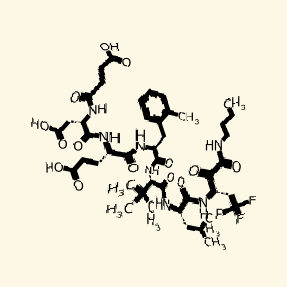 CCCCNC(=O)C(=O)[C@H](CC(F)(F)F)NC(=O)[C@H](CC(C)C)NC(=O)[C@@H](NC(=O)[C@H](Cc1ccccc1C)NC(=O)[C@H](CCC(=O)O)NC(=O)[C@H](CC(=O)O)NC(=O)CCC(=O)O)C(C)(C)C